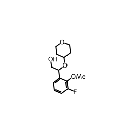 COc1c(F)cccc1C(CO)OC1CCOCC1